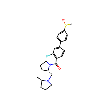 C[C@@H]1CCCN1C[C@@H]1CCCN1C(=O)c1ccc(-c2ccc([S+](C)[O-])cc2)cc1F